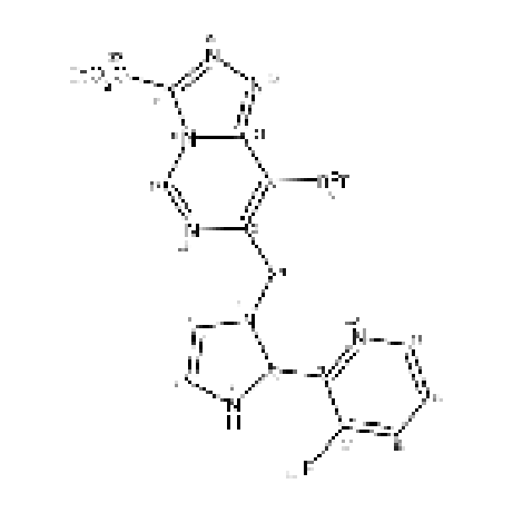 CCCc1c(CN2C=CNC2c2ncccc2F)ncn2c(C(=O)OCC)nnc12